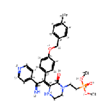 CCOP(=O)(CCN1CCN/C(=C(\C(=N)c2ccncc2)c2ccc(OCc3ccc(C(C)C)cc3)cc2)C1=O)OCC